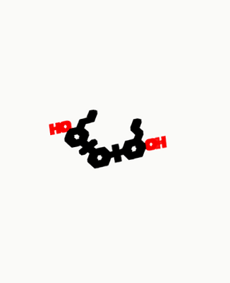 C=CCc1cc(C(C)(C)c2cccc(C(C)(C)c3ccc(O)c(CC=C)c3)c2)ccc1O